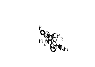 CCn1c(=O)c(C(=O)CN2CCCC[C@@H]2C[n+]2cc[nH]c2)c(N)n(Cc2ccc(F)cc2)c1=O